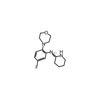 Fc1ccc(N2CCOCC2)c(/N=C2\CCCCN2)c1